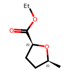 CCOC(=O)[C@@H]1CC[C@H](C)O1